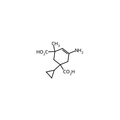 CC1(C(=O)O)C=C(N)CC(C(=O)O)(C2CC2)C1